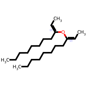 C/C=C(/CCCCCCCC)O/C(=C\C)CCCCCCCC